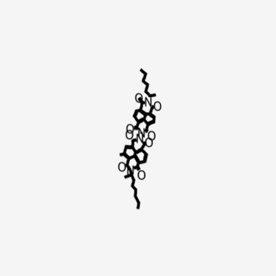 CCCCCCC(C)N1C(=O)c2ccc3c4c(cc(C)c(c24)C1=O)C(=O)N(N1C(=O)c2ccc4c5c(ccc(c25)C1=O)C(=O)N(C(C)CCCCC)C4=O)C3=O